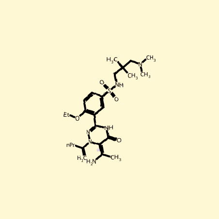 C=C(CCC)N1N=C(c2cc(S(=O)(=O)NCC(C)(C)CN(C)C)ccc2OCC)NC(=O)/C1=C(\C)N